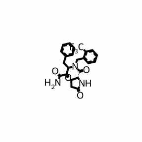 NC(=O)C(=O)C(Cc1ccccc1)N(Cc1ccccc1C(F)(F)F)C(=O)[C@H]1CCC(=O)N1